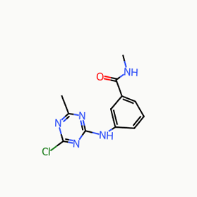 CNC(=O)c1cccc(Nc2nc(C)nc(Cl)n2)c1